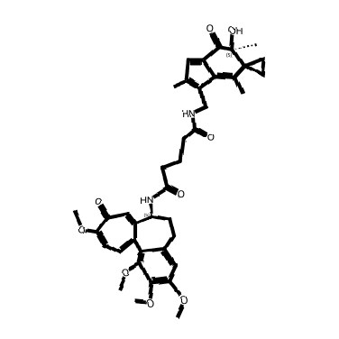 COc1cc2c(c(OC)c1OC)-c1ccc(OC)c(=O)cc1[C@@H](NC(=O)CCCC(=O)NCC1=C(C)C=C3C(=O)[C@@](C)(O)C4(CC4)C(C)=C31)CC2